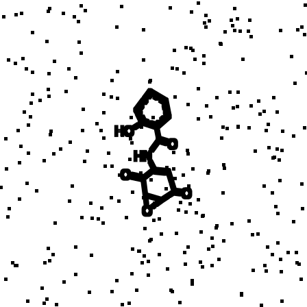 O=C(NC1=CC(=O)C2OC2C1=O)c1ccccc1O